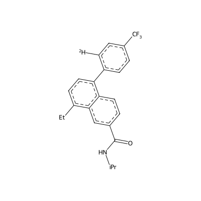 [2H]c1cc(C(F)(F)F)ccc1-c1ccc(CC)c2cc(C(=O)NC(C)C)ccc12